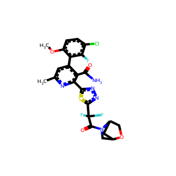 COc1ccc(Cl)c(F)c1-c1cc(C)nc(-c2nnc(C(F)(F)C(=O)N3CC4CC3CO4)s2)c1C(N)=O